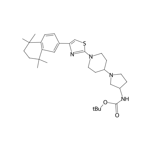 CC(C)(C)OC(=O)NC1CCN(C2CCN(c3nc(-c4ccc5c(c4)C(C)(C)CCC5(C)C)cs3)CC2)C1